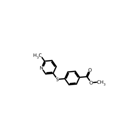 COC(=O)c1ccc(Sc2ccc(C)nc2)cc1